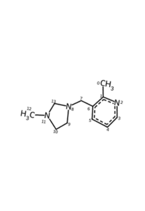 Cc1ncccc1CN1CCN(C)C1